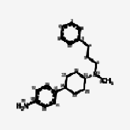 CN(CCCc1ccccc1)[C@H]1CC[C@H](c2ccc(N)cc2)CC1